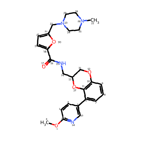 COc1ccc(-c2cccc3c2OC(CNC(=O)c2ccc(CN4CCN(C)CC4)o2)CO3)cn1